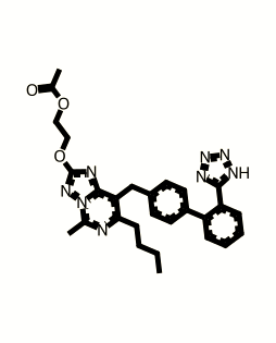 CCCCc1nc(C)n2nc(OCCOC(C)=O)nc2c1Cc1ccc(-c2ccccc2-c2nnn[nH]2)cc1